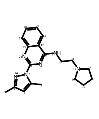 Cc1cc(C)n(-c2nc(NCCN3CCCC3)c3ccccc3n2)n1